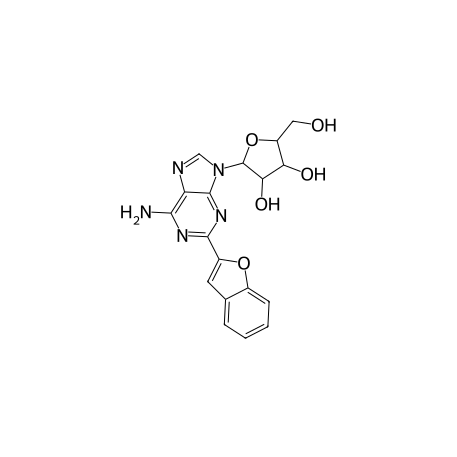 Nc1nc(-c2cc3ccccc3o2)nc2c1ncn2C1OC(CO)C(O)C1O